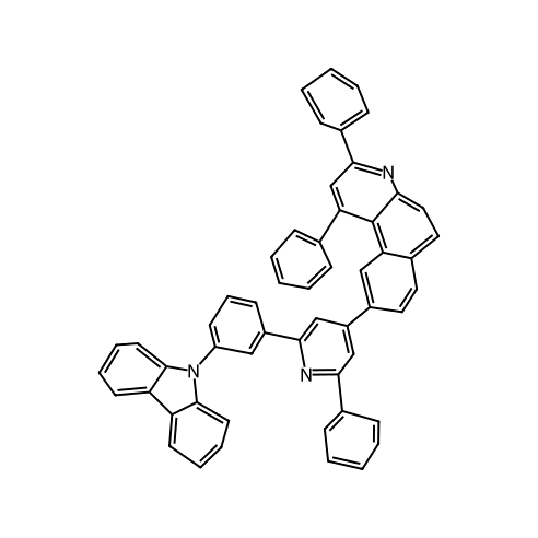 c1ccc(-c2cc(-c3ccc4ccc5nc(-c6ccccc6)cc(-c6ccccc6)c5c4c3)cc(-c3cccc(-n4c5ccccc5c5ccccc54)c3)n2)cc1